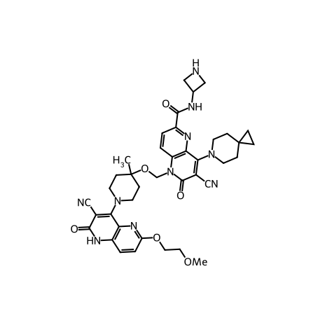 COCCOc1ccc2[nH]c(=O)c(C#N)c(N3CCC(C)(OCn4c(=O)c(C#N)c(N5CCC6(CC5)CC6)c5nc(C(=O)NC6CNC6)ccc54)CC3)c2n1